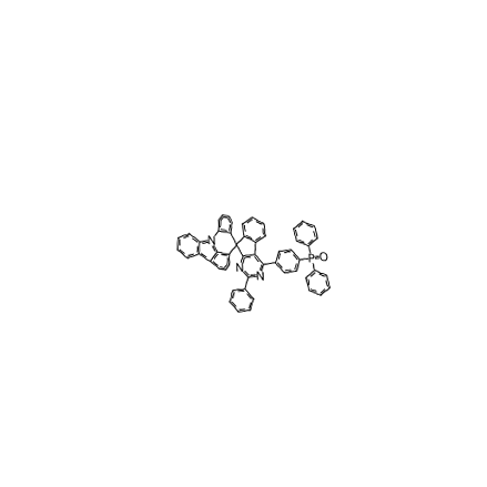 O=P(c1ccccc1)(c1ccccc1)c1ccc(-c2nc(-c3ccccc3)nc3c2-c2ccccc2C32c3ccccc3-n3c4ccccc4c4cccc2c43)cc1